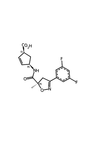 C[C@]1(C(=O)N[C@H]2C=C[C@@H](C(=O)O)C2)CC(c2cc(F)cc(F)c2)=NO1